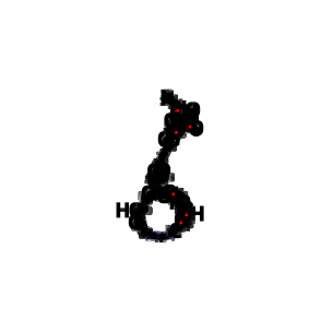 COC[C@H]1OC(=O)/C(=C/N(C)CCCN(C)C)C2=C(O)C(=O)C3=C(CC[C@@]4(C)C3CC[C@@H]4OC(=O)CCCCCCC(=O)O[C@@H]3CC[C@@H](C[C@@H](C)[C@@H]4CC(=O)[C@H](C)/C=C(\C)[C@@H](O)CC(=O)[C@H](C)C[C@H](C)/C=C/C=C/C=C(\C)CC[C@@H]5CC[C@@H](C)[C@@](O)(O5)C(=O)C(=O)N5CCCC[C@H]5C(=O)O4)C[C@H]3OC)[C@]21C